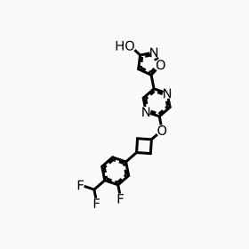 Oc1cc(-c2cnc(OC3CC(c4ccc(C(F)F)c(F)c4)C3)cn2)on1